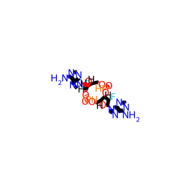 Nc1ncnc2c1ncn2[C@@H]1O[C@@H]2CO[PH](=O)O[C@@H]3[C@H](F)[C@@H](CO[PH](=O)O[C@H]2[C@H]1F)O[C@H]3n1cnc2c(N)ncnc21